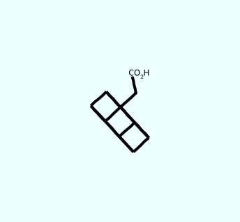 O=C(O)CC12C3C4C5C3C1C5C42